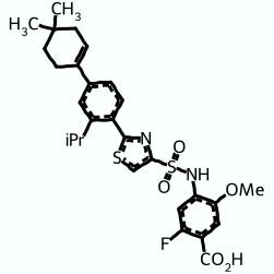 COc1cc(C(=O)O)c(F)cc1NS(=O)(=O)c1csc(-c2ccc(C3=CCC(C)(C)CC3)cc2C(C)C)n1